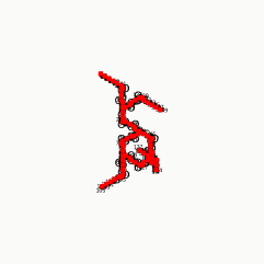 CCCCCCCCSCC(C)C(=O)OCCOC(=O)CCN(CCOCC(C)C(=O)OCCOC(=O)CCN(CCSCC(C)C(=O)OCCOC(=O)CCN1CCN(CCN(C)C)CC1)CCC(=O)OCCOC(=O)C(C)CSCCN(CCC(=O)OCCOC(=O)C(C)CSCCCCCCCC)CCC(=O)OCCOC(=O)C(C)CSCCCCCCCC)CCC(=O)OCCOC(=O)C(C)CSCCCCCCCC